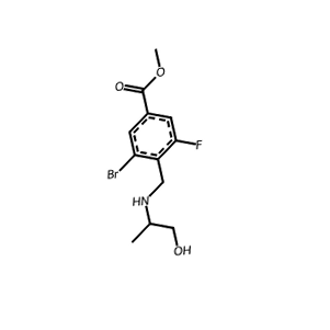 COC(=O)c1cc(F)c(CNC(C)CO)c(Br)c1